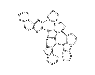 c1ccc(-c2nc3c(ccc4ccccc43)nc2-n2c3cccc4c5cccc6c7ccccc7n(c56)c5c6c(cc2c5c43)oc2ccccc26)cc1